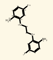 Nc1ccc(F)cc1OCCOc1cc(F)ccc1N